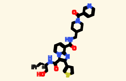 CC(C)C[C@@H](CO)NC(=O)c1c(-c2ccsc2)nc2c(C(=O)NCC3CCN(C(=O)c4cccnc4)CC3)cccn12